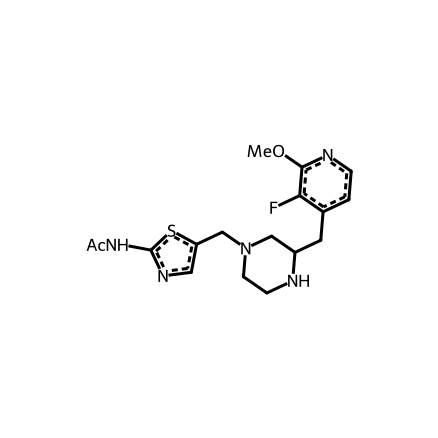 COc1nccc(CC2CN(Cc3cnc(NC(C)=O)s3)CCN2)c1F